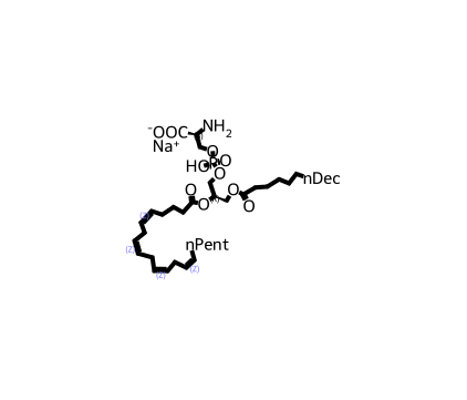 CCCCC/C=C\C/C=C\C/C=C\C/C=C\CCCC(=O)O[C@H](COC(=O)CCCCCCCCCCCCCCC)COP(=O)(O)OC[C@H](N)C(=O)[O-].[Na+]